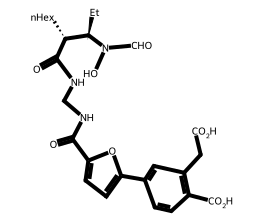 CCCCCC[C@@H](C(=O)NCNC(=O)c1ccc(-c2ccc(C(=O)O)c(CC(=O)O)c2)o1)[C@@H](CC)N(O)C=O